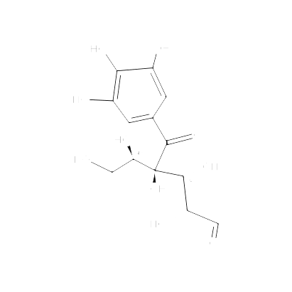 O=C[C@H](O)[C@@H](O)[C@@](O)(C(=O)c1cc(O)c(O)c(O)c1)[C@H](O)CO